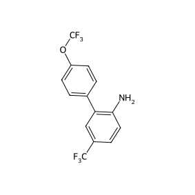 Nc1ccc(C(F)(F)F)cc1-c1ccc(OC(F)(F)F)cc1